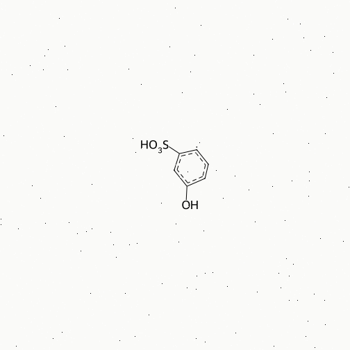 O=S(=O)(O)c1[c]ccc(O)c1